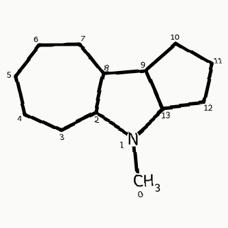 CN1C2CCCCCC2C2CCCC21